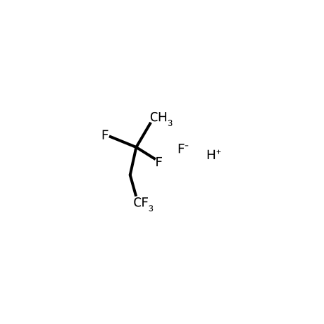 CC(F)(F)CC(F)(F)F.[F-].[H+]